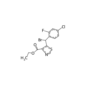 CCOC(=O)c1ncsc1C(Br)c1ccc(Cl)cc1F